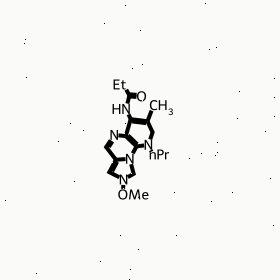 CCCN1CC(C)=C(NC(=O)CC)C2=C1N1CN(OC)C=C1C=N2